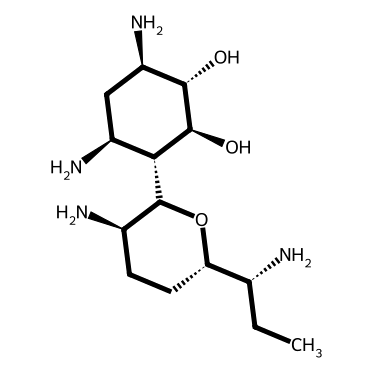 CC[C@@H](N)[C@@H]1CC[C@@H](N)C([C@H]2[C@H](O)[C@@H](O)[C@H](N)C[C@@H]2N)O1